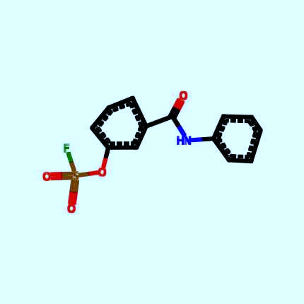 O=C(Nc1ccccc1)c1cccc(OS(=O)(=O)F)c1